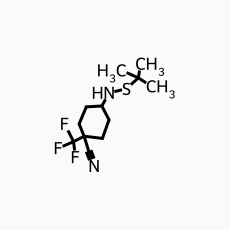 CC(C)(C)SNC1CCC(C#N)(C(F)(F)F)CC1